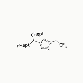 CCCCCCCC(CCCCCCC)c1cnn(CC(F)(F)F)c1